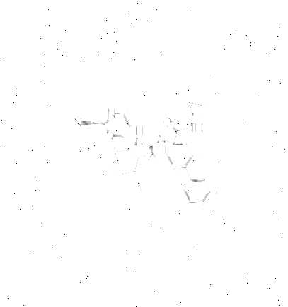 N#Cc1nccc(C2(NC(=O)NC3(C(=O)NC4CC4)C=CC(c4ccccc4)=CC3)CCCCC2)n1